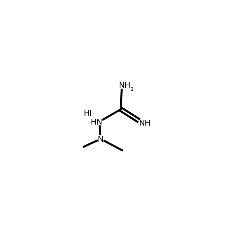 CN(C)NC(=N)N.I